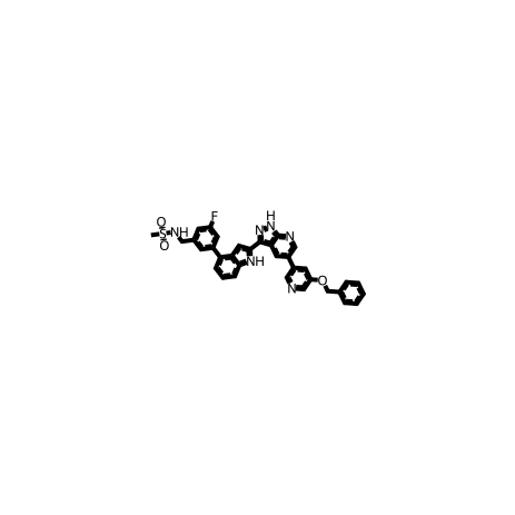 CS(=O)(=O)NCc1cc(F)cc(-c2cccc3[nH]c(-c4n[nH]c5ncc(-c6cncc(OCc7ccccc7)c6)cc45)cc23)c1